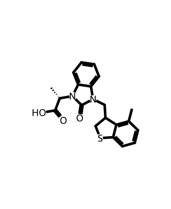 Cc1cccc2c1C(Cn1c(=O)n([C@@H](C)C(=O)O)c3ccccc31)CS2